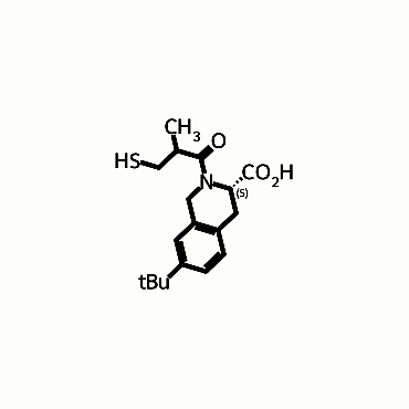 CC(CS)C(=O)N1Cc2cc(C(C)(C)C)ccc2C[C@H]1C(=O)O